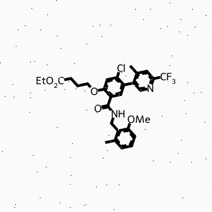 CCOC(=O)CCCOc1cc(Cl)c(-c2cnc(C(F)(F)F)cc2C)cc1C(=O)NCc1c(C)cccc1OC